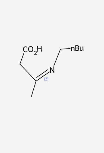 CCCCC/N=C(/C)CC(=O)O